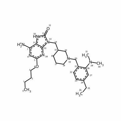 CCCCOc1nc(N)c2[nH]c(=O)n(CC3CCCN(Cc4ccc(CC)cc4N(C)C)C3)c2n1